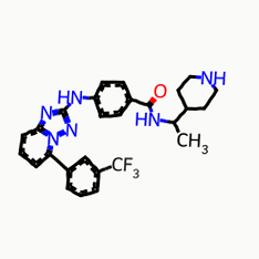 CC(NC(=O)c1ccc(Nc2nc3cccc(-c4cccc(C(F)(F)F)c4)n3n2)cc1)C1CCNCC1